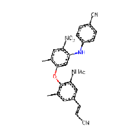 CC(=O)Nc1cc(/C=C/C#N)cc(C)c1Oc1cc(Nc2ccc(C#N)cc2)c([N+](=O)[O-])cc1C